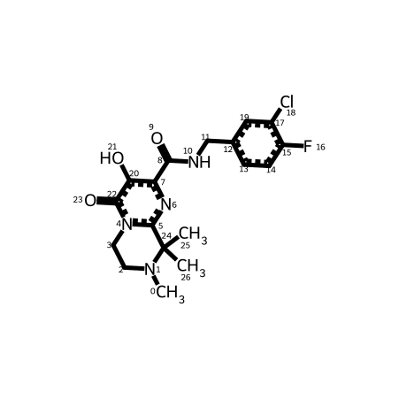 CN1CCn2c(nc(C(=O)NCc3ccc(F)c(Cl)c3)c(O)c2=O)C1(C)C